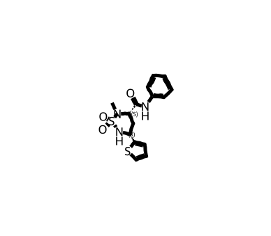 CN1[C@H](C(=O)Nc2ccccc2)C[C@H](c2cccs2)NS1(=O)=O